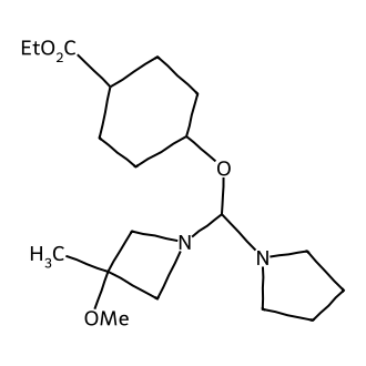 CCOC(=O)C1CCC(OC(N2CCCC2)N2CC(C)(OC)C2)CC1